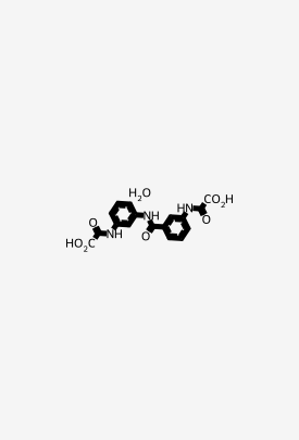 O.O=C(O)C(=O)Nc1cccc(NC(=O)c2cccc(NC(=O)C(=O)O)c2)c1